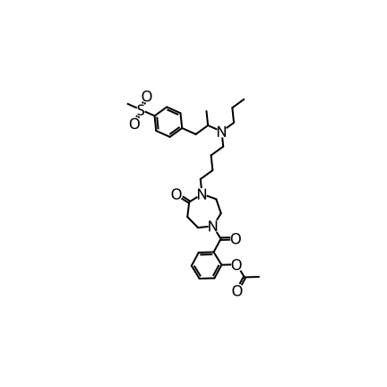 CCCN(CCCCN1CCN(C(=O)c2ccccc2OC(C)=O)CCC1=O)C(C)Cc1ccc(S(C)(=O)=O)cc1